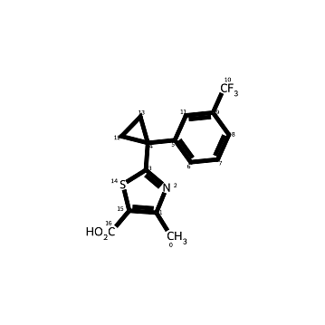 Cc1nc(C2(c3cccc(C(F)(F)F)c3)CC2)sc1C(=O)O